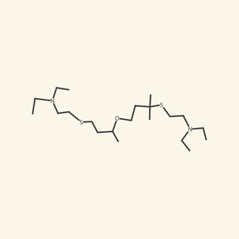 CCN(CC)CCSCCC(C)OCCC(C)(C)SCCN(CC)CC